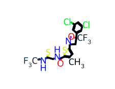 Cc1cc(C2=NOC(c3cc(Cl)cc(Cl)c3)(C(F)(F)F)C2)sc1C(=O)NCC(=S)NCC(F)(F)F